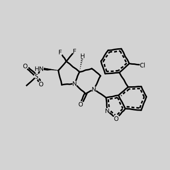 CS(=O)(=O)N[C@@H]1CN2C(=O)N(c3noc4cccc(-c5ccccc5Cl)c34)CC[C@@H]2C1(F)F